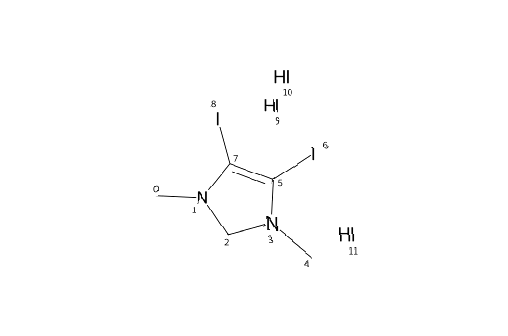 CN1CN(C)C(I)=C1I.I.I.I